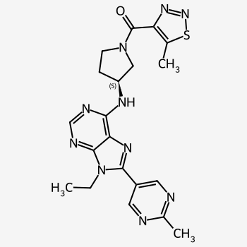 CCn1c(-c2cnc(C)nc2)nc2c(N[C@H]3CCN(C(=O)c4nnsc4C)C3)ncnc21